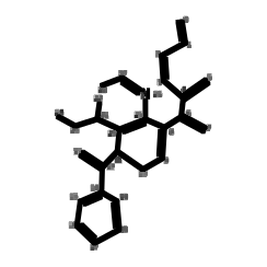 C=C/C=C\C(=C)C(=C)C1=CCC(C(=C)c2ccccc2)C(C(C)CC)=C1/N=C\C